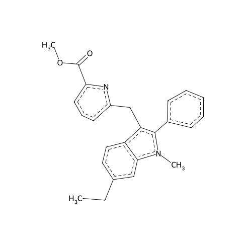 CCc1ccc2c(Cc3cccc(C(=O)OC)n3)c(-c3ccccc3)n(C)c2c1